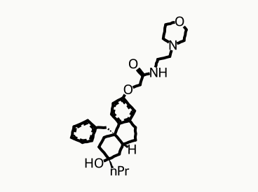 CCC[C@@]1(O)CC[C@@]2(Cc3ccccc3)c3ccc(OCC(=O)NCCN4CCOCC4)cc3CC[C@@H]2C1